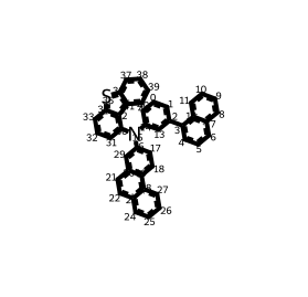 c1cc(-c2cccc3ccccc23)cc(N(c2ccc3c(ccc4ccccc43)c2)c2cccc3sc4ccccc4c23)c1